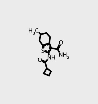 CC1CCc2c(sc(NC(=O)C3CCC3)c2C(N)=O)C1